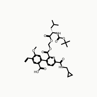 C=Cc1cc(C(=O)O)c(-c2ccc(C(=O)NCC3CC3)nc2C(=O)OCOC(=O)[C@H](CC(C)C)NC(=O)OC(C)(C)C)cc1OC